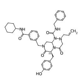 C=CCN1CC(=O)N2C(CN(Cc3cccc(C(=O)NC4CCCCC4)c3)C(=O)[C@@H]2Cc2ccc(O)cc2)N1C(=O)NCc1ccccc1